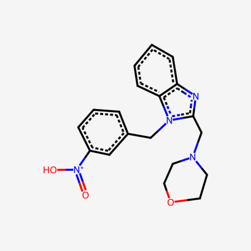 O=[N+](O)c1cccc(Cn2c(CN3CCOCC3)nc3ccccc32)c1